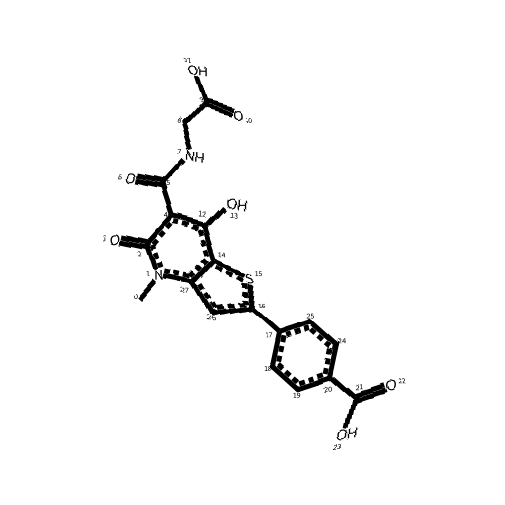 Cn1c(=O)c(C(=O)NCC(=O)O)c(O)c2sc(-c3ccc(C(=O)O)cc3)cc21